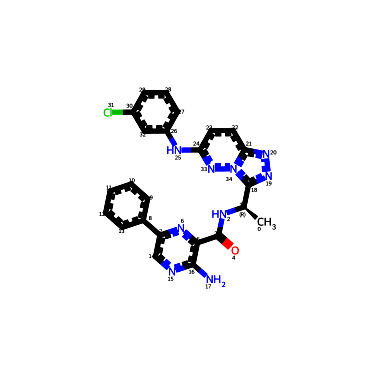 C[C@@H](NC(=O)c1nc(-c2ccccc2)cnc1N)c1nnc2ccc(Nc3cccc(Cl)c3)nn12